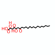 CCCCCCCCCCCCCCCC(=O)CC(O)C(=O)CC(O)C(=O)O